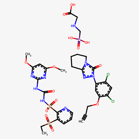 C#CCOc1cc(-n2nc3n(c2=O)CCCC3)c(Cl)cc1Cl.CCS(=O)(=O)c1cccnc1S(=O)(=O)NC(=O)Nc1nc(OC)cc(OC)n1.O=C(O)CNCP(=O)(O)O